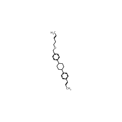 CC=CCCOCc1ccc(C2CCC(c3ccc(C=CC)cc3)CC2)cc1